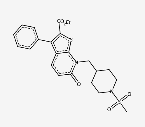 CCOC(=O)c1sc2c(ccc(=O)n2CC2CCN(S(C)(=O)=O)CC2)c1-c1ccccc1